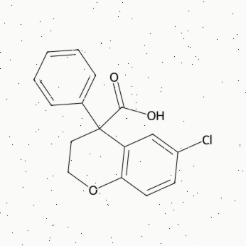 O=C(O)C1(c2ccccc2)CCOc2ccc(Cl)cc21